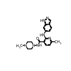 Cc1ccc(C(=O)NN2CCN(C)CC2)c(Nc2ccc3cn[nH]c3c2)n1